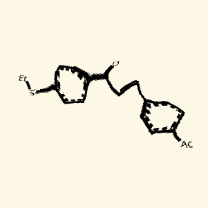 CCSc1ccc(C(=O)C=Cc2ccc(C(C)=O)cc2)cc1